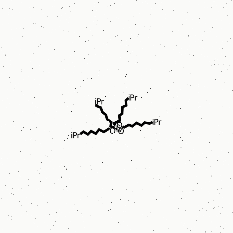 CC(C)CCCCCCC[O][Ti](=[O])([CH2]CCCCCCC(C)C)([CH2]CCCCCCC(C)C)[O]CCCCCCCC(C)C